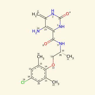 C=C1NC(=O)NC(C(=O)N[C@H](C)COc2c(C)cc(Cl)cc2C)=C1N